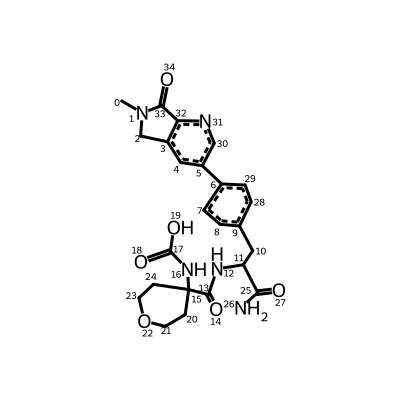 CN1Cc2cc(-c3ccc(CC(NC(=O)C4(NC(=O)O)CCOCC4)C(N)=O)cc3)cnc2C1=O